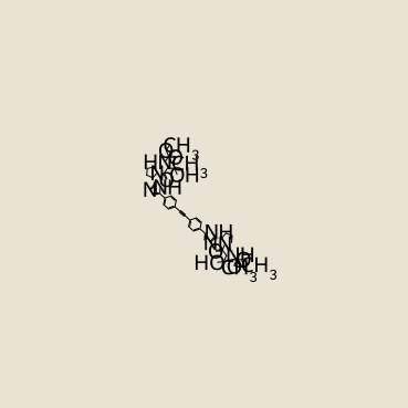 COC(=O)NC(C(=O)N1CCC[C@H]1c1ncc(-c2ccc(C#Cc3ccc(-c4cnc([C@@H]5CCCN5C(=O)[C@H](NC(=O)OC)[C@H](C)O)[nH]4)cc3)cc2)[nH]1)[C@H](C)O